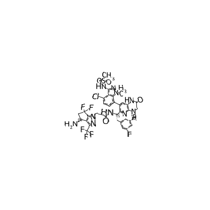 Cn1nc(NS(C)(=O)=O)c2c(Cl)ccc(-c3cc4c(nc3[C@H](Cc3cc(F)cc(F)c3)NC(=O)Cn3nc(C(F)(F)F)c5c3C(F)(F)C[C@@H]5N)NCC(=O)N4)c21